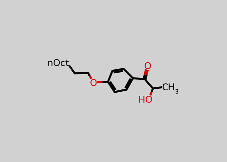 CCCCCCCCCCOc1ccc(C(=O)C(C)O)cc1